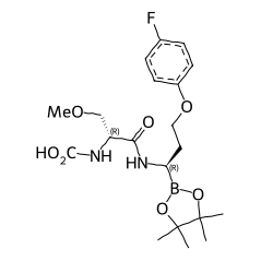 COC[C@@H](NC(=O)O)C(=O)N[C@@H](CCOc1ccc(F)cc1)B1OC(C)(C)C(C)(C)O1